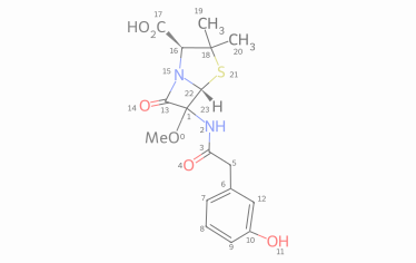 COC1(NC(=O)Cc2cccc(O)c2)C(=O)N2[C@@H](C(=O)O)C(C)(C)S[C@@H]21